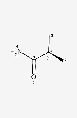 [CH2][C@H](C)C(N)=O